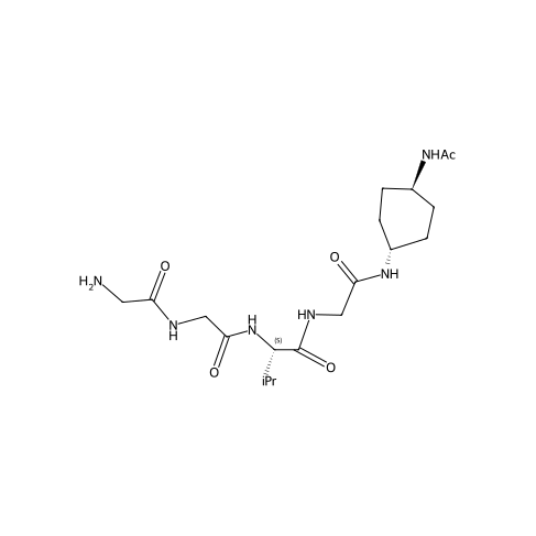 CC(=O)N[C@H]1CC[C@H](NC(=O)CNC(=O)[C@@H](NC(=O)CNC(=O)CN)C(C)C)CC1